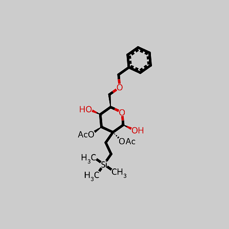 CC(=O)O[C@H]1[C@@H](O)[C@@H](COCc2ccccc2)O[C@@H](O)[C@]1(CC[Si](C)(C)C)OC(C)=O